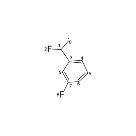 [CH2]C(F)c1cccc(F)c1